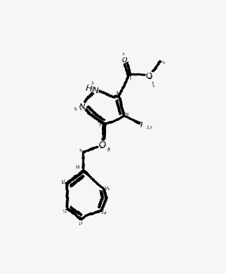 COC(=O)c1[nH]nc(OCc2ccccc2)c1I